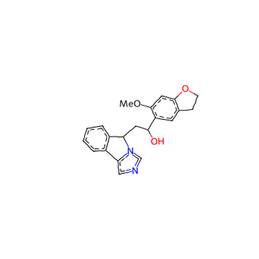 COc1cc2c(cc1C(O)CC1c3ccccc3-c3cncn31)CCO2